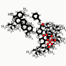 CC[Si](CC)(CC)OCC1O[C@@H](OC2C(O[C@@H]3OC[C@@H](O[Si](CC)(CC)CC)C(O[Si](CC)(CC)CC)C3O[Si](CC)(CC)CC)[C@H](O[Si](CC)(CC)CC)C(C(=O)OCc3ccccc3)O[C@H]2OC2CCC3(C)C(CCC4(C)C3CC=C3C5(C[C@@H](O[Si](CC)(CC)CC)CC34C)CC(C)(C)CCC5C(=O)O)C2(C)C=O)C(O[Si](CC)(CC)CC)C(O[Si](CC)(CC)CC)[C@H]1O[Si](CC)(CC)CC